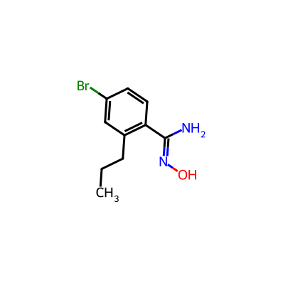 CCCc1cc(Br)ccc1C(N)=NO